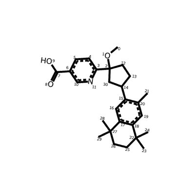 COC1(c2ccc(C(=O)O)cn2)CCC(c2cc3c(cc2C)C(C)(C)CCC3(C)C)C1